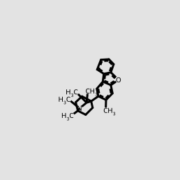 Cc1cc2oc3ccccc3c2cc1C12CCC(C)(CC1)N(C)C2(C)C